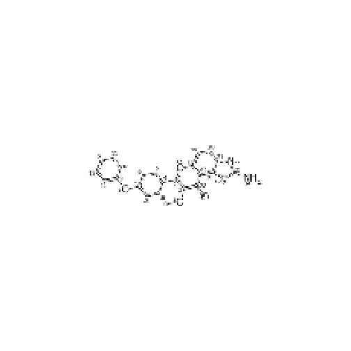 COc1c(-c2ccc(Oc3ccccc3)cc2)oc2ccc3nc(N)sc3c2c1=O